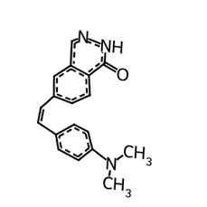 CN(C)c1ccc(/C=C\c2ccc3c(=O)[nH]ncc3c2)cc1